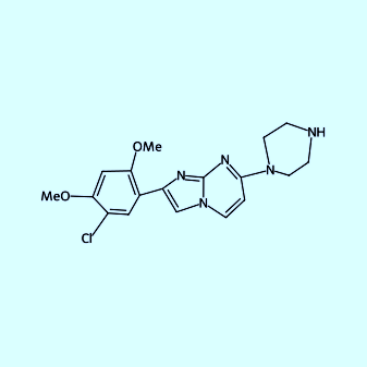 COc1cc(OC)c(-c2cn3ccc(N4CCNCC4)nc3n2)cc1Cl